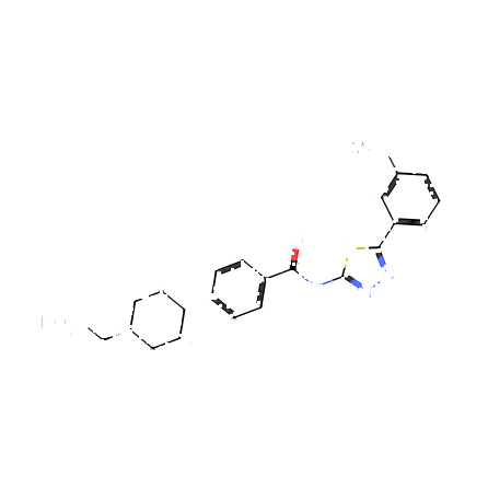 COc1cccc(-c2nnc(NC(=O)c3ccc([C@H]4CC[C@H](CC(=O)O)CC4)cc3)s2)c1